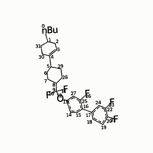 CCCCC1CC=C(C2CCC(C(F)(F)Oc3ccc(-c4ccc(F)c(F)c4)c(F)c3)CC2)CC1